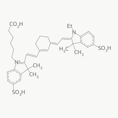 CCN1/C(=C/C=C2C=C(/C=C/C3=[N+](CCCCCC(=O)O)c4ccc(S(=O)(=O)O)cc4C3(C)C)CCC/2)C(C)(C)c2cc(S(=O)(=O)O)ccc21